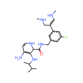 CN/C=C(\CNC)c1cc(F)cc(CNC(=O)C2NC=CC(N)=C2NC(C)C(C)C)c1